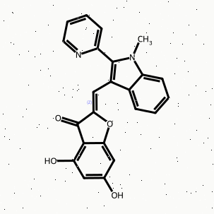 Cn1c(-c2ccccn2)c(/C=C2\Oc3cc(O)cc(O)c3C2=O)c2ccccc21